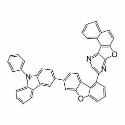 c1ccc(-n2c3ccccc3c3cc(-c4ccc5c(c4)oc4cccc(-c6cnc7c(n6)oc6ccc8ccccc8c67)c45)ccc32)cc1